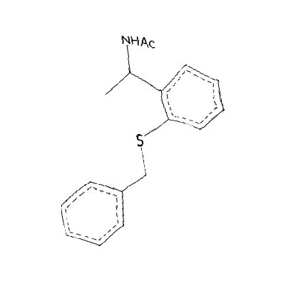 CC(=O)NC(C)c1ccccc1SCc1ccccc1